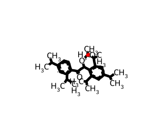 CC(=O)OC(C(=O)c1ccc(C(C)C)[c]c1C(C)C)c1c(C(C)C)cc(C(C)C)cc1C(C)C